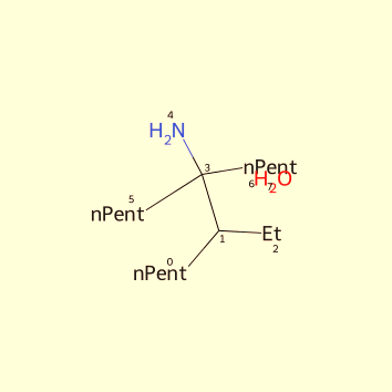 CCCCCC(CC)C(N)(CCCCC)CCCCC.O